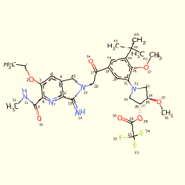 CCOc1cc2c(nc1C(=O)NC)C(=N)N(CC(=O)c1cc(N3C[C@@H](OC)[C@H](OC(=O)C(F)(F)F)C3)c(OC)c(C(C)(C)C)c1)C2